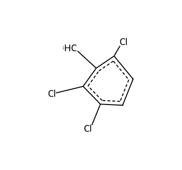 [CH]c1c(Cl)ccc(Cl)c1Cl